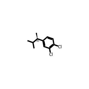 CC(C)[C@@H](C)c1ccc(Cl)c(Cl)c1